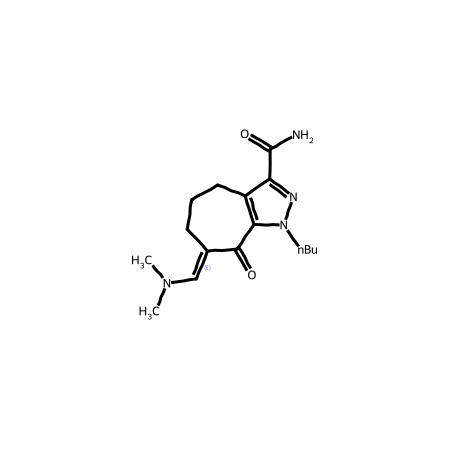 CCCCn1nc(C(N)=O)c2c1C(=O)/C(=C/N(C)C)CCC2